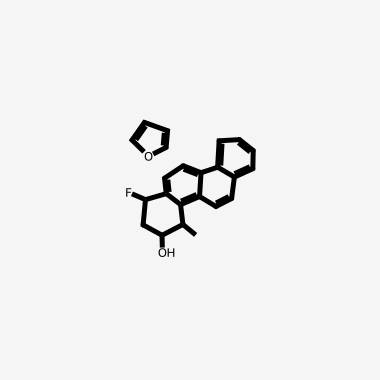 CC1c2c(ccc3c2ccc2ccccc23)C(F)CC1O.c1ccoc1